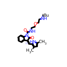 Cc1cc(C)c(/C=C2\C(=O)N(C(=O)NCCOCCNC(C)(C)C)c3ccccc32)[nH]1